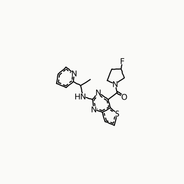 CC(Nc1nc(C(=O)N2CCC(F)C2)c2sccc2n1)c1ccccn1